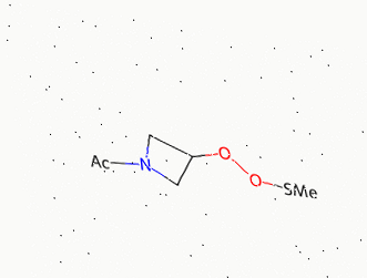 CSOOC1CN(C(C)=O)C1